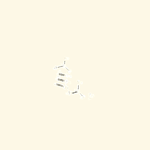 FP(F)F.FP(F)F.[C]=O.[C]=O.[C]=O.[Fe]